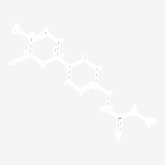 CC(C)(C)OC(=O)NCC1=CCC(C2=CC=C(C#N)C(F)C2)CC1